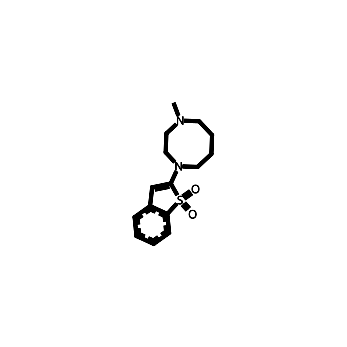 CN1CCCCN(C2=Cc3ccccc3S2(=O)=O)CC1